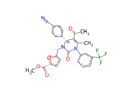 COC(=O)c1ccc(CN2C(=O)N(c3cccc(C(F)(F)F)c3)C(C)=C(C(C)=O)[C@H]2c2ccc(C#N)cc2)o1